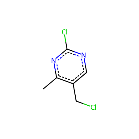 Cc1nc(Cl)ncc1CCl